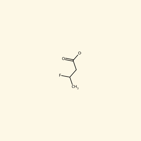 CC(F)CC([O])=O